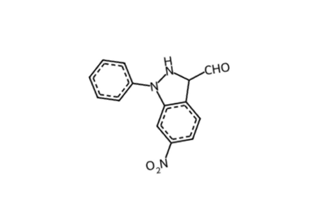 O=CC1NN(c2ccccc2)c2cc([N+](=O)[O-])ccc21